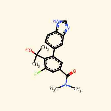 CN(C)C(=O)c1cc(F)c(C(C)(C)O)c(-c2ccc3[nH]cnc3c2)c1